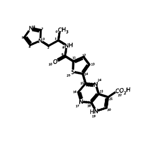 CC(Cn1ccnc1)NC(=O)c1ccc(-c2cnc3[nH]cc(C(=O)O)c3n2)s1